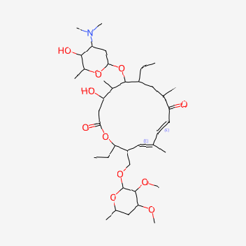 CCC1CC(C)C(=O)/C=C/C(C)=C/C(COC2OC(C)CC(OC)C2OC)C(CC)OC(=O)CC(O)C(C)C1OC1CC(N(C)C)C(O)C(C)O1